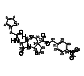 O=C(Cc1cccs1)NC1C(=O)N2CC(CBr)(C(=O)OCc3ccc([N+](=O)[O-])cc3)CS[C@H]12